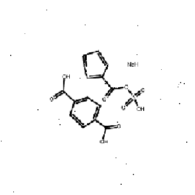 O=C(O)c1ccc(C(=O)O)cc1.O=C(OS(=O)(=O)O)c1ccccc1.[NaH]